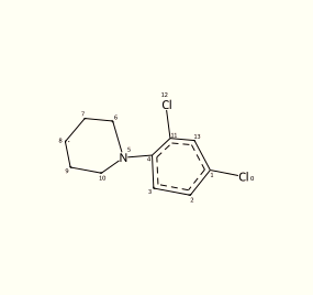 Clc1ccc(N2CC[CH]CC2)c(Cl)c1